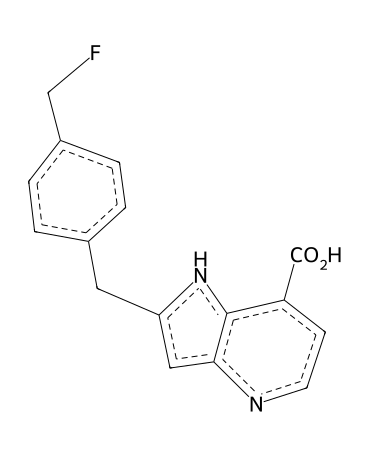 O=C(O)c1ccnc2cc(Cc3ccc(CF)cc3)[nH]c12